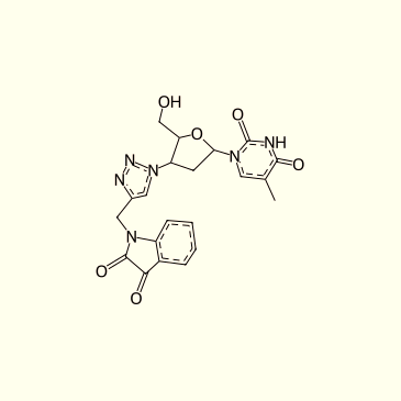 Cc1cn(C2CC(n3cc(CN4C(=O)C(=O)c5ccccc54)nn3)C(CO)O2)c(=O)[nH]c1=O